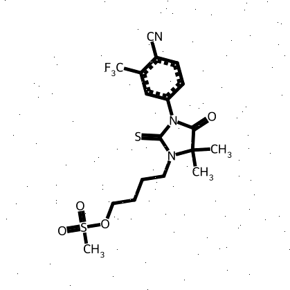 CC1(C)C(=O)N(c2ccc(C#N)c(C(F)(F)F)c2)C(=S)N1CCCCOS(C)(=O)=O